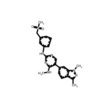 CNc1nc(Nc2cccc(CS(C)(=O)=O)c2)ncc1-c1ccc2c(C)nn(C)c2c1